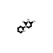 O=c1ccn(-c2ccccn2)c(=O)[nH]1